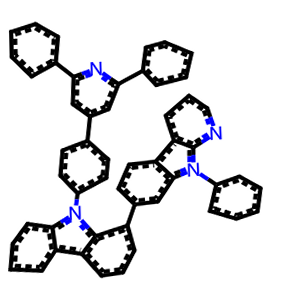 c1ccc(-c2cc(-c3ccc(-n4c5ccccc5c5cccc(-c6ccc7c8cccnc8n(-c8ccccc8)c7c6)c54)cc3)cc(-c3ccccc3)n2)cc1